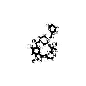 Cn1nc(-c2ccnc(C(C)(C)O)n2)c2cc(C(=O)N3CCN(Cc4ccccn4)CC3)c(Cl)cc21